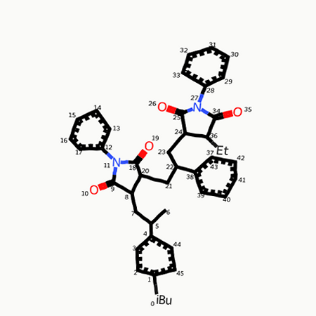 CCC(C)c1ccc(C(C)CC2C(=O)N(c3ccccc3)C(=O)C2CC(CC2C(=O)N(c3ccccc3)C(=O)C2CC)c2ccccc2)cc1